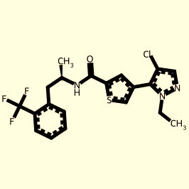 CCn1ncc(Cl)c1-c1csc(C(=O)N[C@H](C)Cc2ccccc2C(F)(F)F)c1